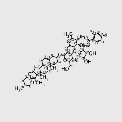 C[C@@H]1CC[C@@]2(OC1)OC1CC3C4CC=C5C[C@@H](O[C@@H]6O[C@H](CO)[C@@H](O[C@@H]7O[C@@H](COC(=O)c8ccc(F)cc8F)[C@H](O)[C@H]7O)[C@H](O)[C@H]6O[C@H]6C[C@H](O)[C@@H](O)[C@H](C)O6)CC[C@]5(C)C4CC[C@]3(C)C1[C@@H]2C